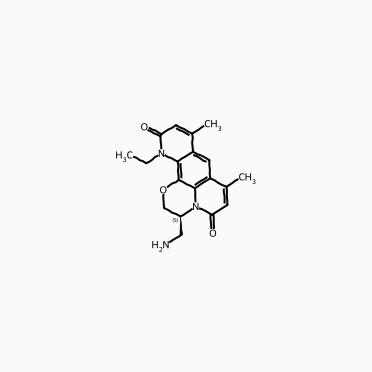 CCn1c(=O)cc(C)c2cc3c(C)cc(=O)n4c3c(c21)OC[C@@H]4CN